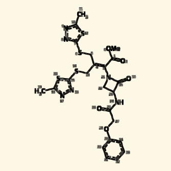 COC(=O)C(=C(CSc1nnc(C)s1)CSc1nnc(C)s1)N1CC(NC(=O)COc2ccccc2)C1=O